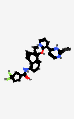 CSc1nccc(-c2cccnc2Oc2c(C)ccc3c(NC(=O)C4CCC(F)(F)C4)cccc23)n1